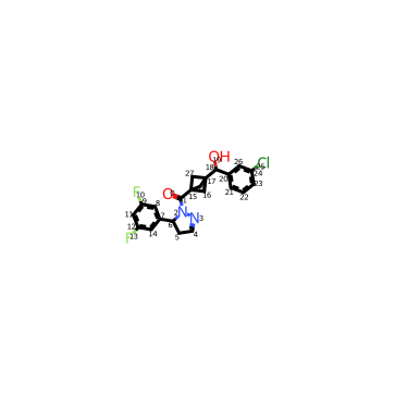 O=C(N1N=CCC1c1cc(F)cc(F)c1)C12CC(C(O)c3cccc(Cl)c3)(C1)C2